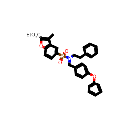 CCOC(=O)c1oc2ccc(S(=O)(=O)N(CCc3ccccc3)Cc3ccc(Oc4ccccc4)cc3)cc2c1C